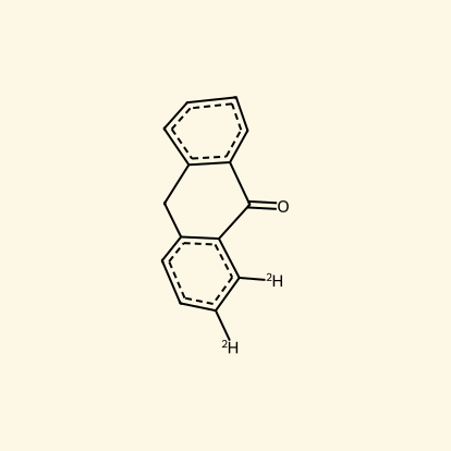 [2H]c1ccc2c(c1[2H])C(=O)c1ccccc1C2